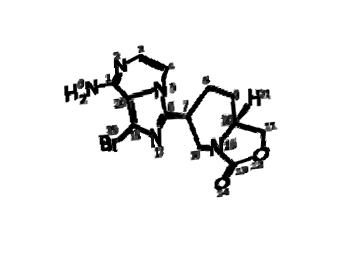 Nc1nccn2c([C@H]3CC[C@@H]4COC(=O)N4C3)nc(Br)c12